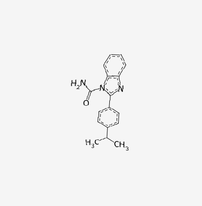 CC(C)c1ccc(-c2nc3ccccc3n2C(N)=O)cc1